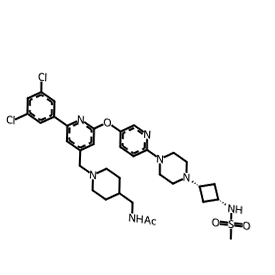 CC(=O)NCC1CCN(Cc2cc(Oc3ccc(N4CCN([C@H]5C[C@@H](NS(C)(=O)=O)C5)CC4)nc3)nc(-c3cc(Cl)cc(Cl)c3)c2)CC1